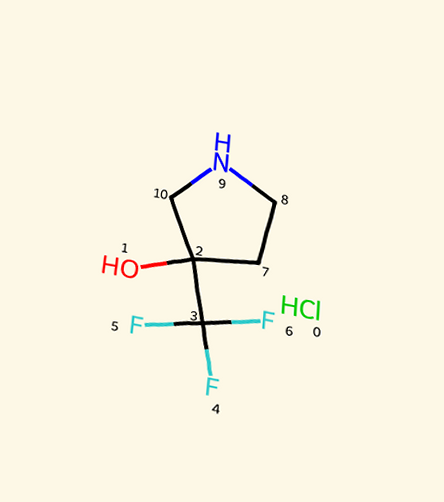 Cl.OC1(C(F)(F)F)CCNC1